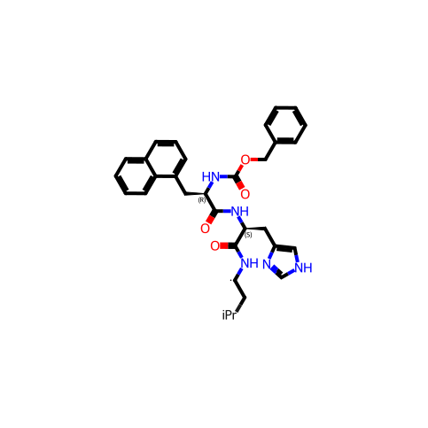 CC(C)C[CH]NC(=O)[C@H](Cc1c[nH]cn1)NC(=O)[C@@H](Cc1cccc2ccccc12)NC(=O)OCc1ccccc1